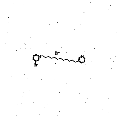 Brc1ccc[n+](CCCCCCCCCCCCc2cccnc2)c1.[Br-]